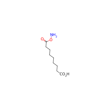 NOC(=O)CCCCCCCC(=O)O